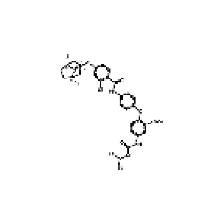 CCC(CC)NC(=O)Nc1ccc(Oc2ccc(NC(=O)c3ccc(O[C@H]4C[C@H]5CC[C@@H](C4)N5C)cc3Cl)cc2)c(OC)c1